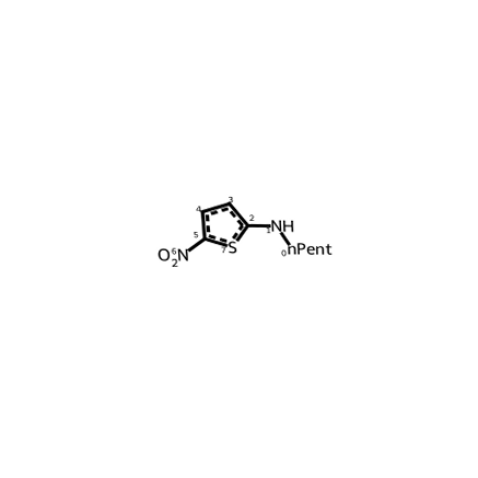 CCCCCNc1ccc([N+](=O)[O-])s1